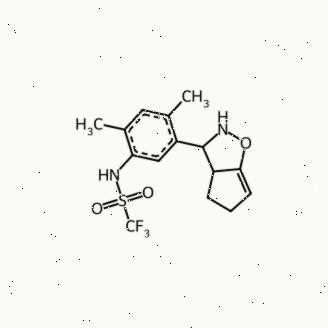 Cc1cc(C)c(C2NOC3=CCCC32)cc1NS(=O)(=O)C(F)(F)F